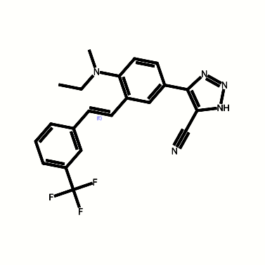 CCN(C)c1ccc(-c2nn[nH]c2C#N)cc1/C=C/c1cccc(C(F)(F)F)c1